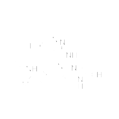 CC1=CN2C(Nc3cc(C)[nH]n3)=NC(c3ccc(C(=O)NC4CC4)s3)=CC2N1